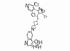 [2H]C([2H])([2H])Oc1ccnc2ccc(N3CC4(CC(/C=C/c5c(-c6c(Cl)cncc6Cl)noc5C5CC5)C4)C3)cc12